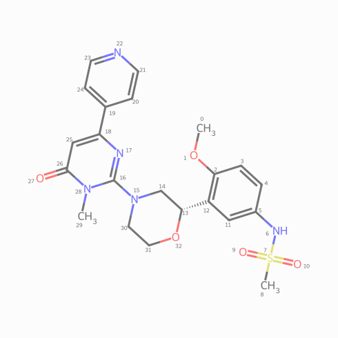 COc1ccc(NS(C)(=O)=O)cc1[C@H]1CN(c2nc(-c3ccncc3)cc(=O)n2C)CCO1